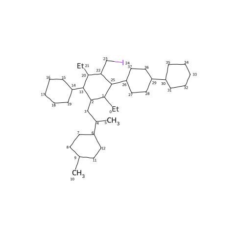 CCC1C(CC(C)C2CCC(C)CC2)C(C2CCCCC2)C(CC)C(CI)C1C1CCC(C2CCCCC2)CC1